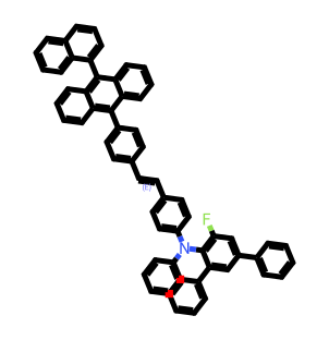 Fc1cc(-c2ccccc2)cc(-c2ccccc2)c1N(c1ccccc1)c1ccc(/C=C/c2ccc(-c3c4ccccc4c(-c4cccc5ccccc45)c4ccccc34)cc2)cc1